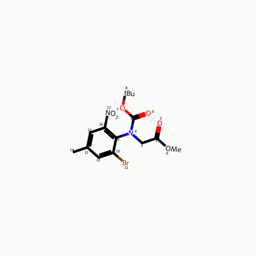 COC(=O)CN(C(=O)OC(C)(C)C)c1c(Br)cc(C)cc1[N+](=O)[O-]